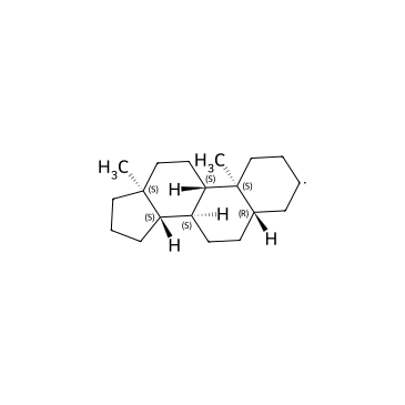 C[C@@]12CCC[C@H]1[C@@H]1CC[C@H]3C[CH]CC[C@]3(C)[C@H]1CC2